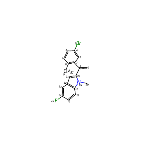 C=C(c1cc(Br)ccc1OC(C)=O)c1cc2cc(F)ccc2n1C